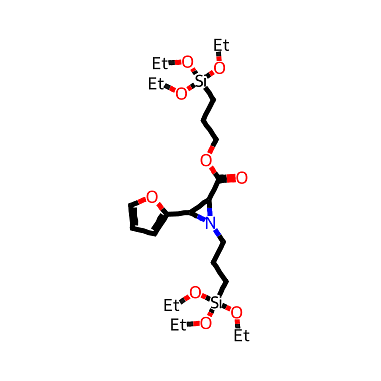 CCO[Si](CCCOC(=O)C1C(c2ccco2)N1CCC[Si](OCC)(OCC)OCC)(OCC)OCC